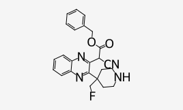 N#CC(C(=O)OCc1ccccc1)c1nc2ccccc2nc1C1(CF)CCNCC1